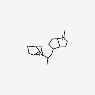 CC(CC1CCC2C1CCN2C)N1CC2CCC1C2